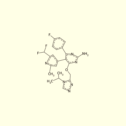 Cc1cc(-c2c(OCc3nncn3C(C)C)nc(N)nc2-c2ccc(F)cc2)cc(C(F)F)n1